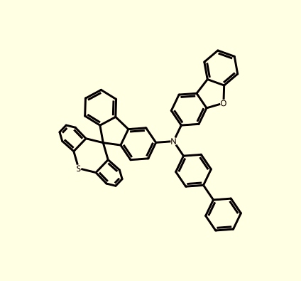 c1ccc(-c2ccc(N(c3ccc4c(c3)-c3ccccc3C43c4ccccc4Sc4ccccc43)c3ccc4c(c3)oc3ccccc34)cc2)cc1